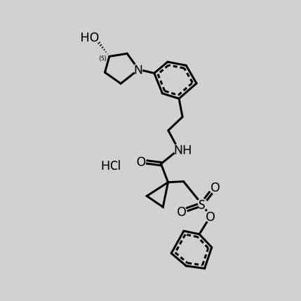 Cl.O=C(NCCc1cccc(N2CC[C@H](O)C2)c1)C1(CS(=O)(=O)Oc2ccccc2)CC1